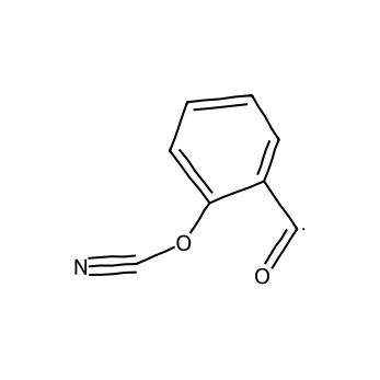 N#COc1ccccc1[C]=O